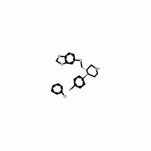 Clc1ccccc1.Fc1ccc([C@@H]2CCNC[C@H]2COc2ccc3c(c2)OCO3)cc1